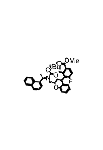 COC(=O)c1ccc(F)c(C2C[C@H](CN(C(=O)OC(C)(C)C)[C@H](C)c3cccc4ccccc34)Oc3ccccc32)c1C